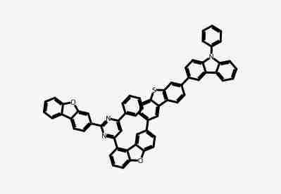 c1ccc(-c2cc(-c3cccc4oc5ccc(-c6ccc7sc8cc(-c9ccc%10c(c9)c9ccccc9n%10-c9ccccc9)ccc8c7c6)cc5c34)nc(-c3ccc4c(c3)oc3ccccc34)n2)cc1